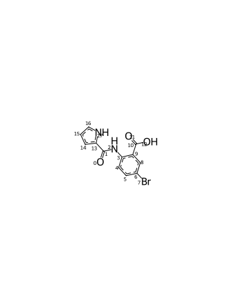 O=C(Nc1ccc(Br)cc1C(=O)O)c1ccc[nH]1